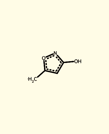 [CH2]c1cc(O)no1